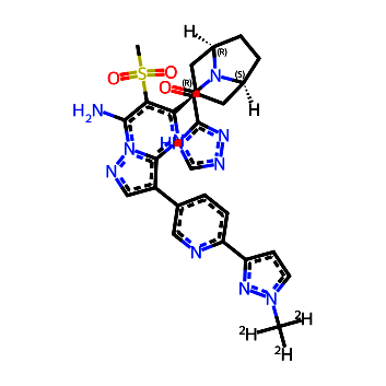 [2H]C([2H])([2H])n1ccc(-c2ccc(-c3cnn4c(N)c(S(C)(=O)=O)c([C@H]5C[C@H]6CC[C@@H](C5)N6C(=O)c5nnc[nH]5)nc34)cn2)n1